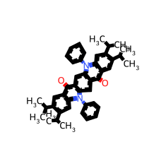 CC(C)c1cc2c(=O)c3cc4c(cc3n(-c3ccccc3)c2cc1C(C)C)c(=O)c1cc(C(C)C)c(C(C)C)cc1n4-c1ccccc1